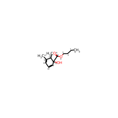 CCCCOC(=O)C1(O)C=CC=C(C)C1C